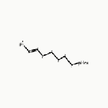 CCCCCCCCCCCC=CC(C)C